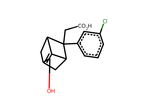 O=C(O)CC1(c2cccc(Cl)c2)C2CC3CC1C2=CC3O